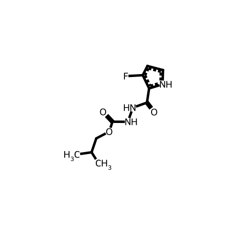 CC(C)COC(=O)NNC(=O)c1[nH]ccc1F